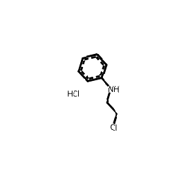 Cl.ClCCNc1ccccc1